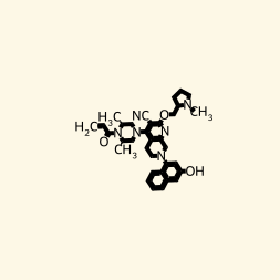 C=CC(=O)N1[C@H](C)CN(c2c(C#N)c(OCC3CCCN3C)nc3c2CCN(c2cc(O)cc4ccccc24)C3)C[C@@H]1C